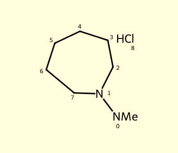 CNN1CCCCCC1.Cl